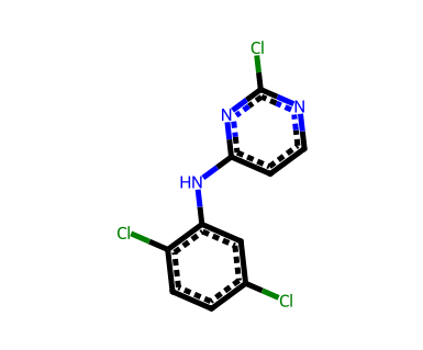 Clc1ccc(Cl)c(Nc2ccnc(Cl)n2)c1